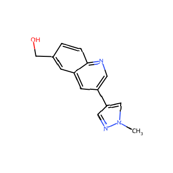 Cn1cc(-c2cnc3ccc(CO)cc3c2)cn1